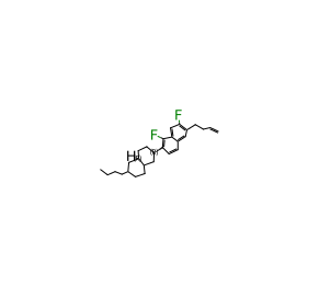 C=CCCc1cc2ccc([C@@H]3CC[C@@H]4CC(CCCC)CCC4C3)c(F)c2cc1F